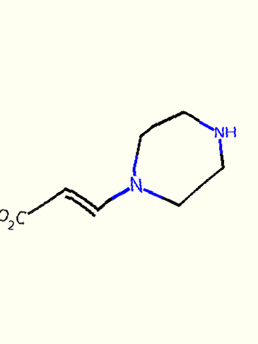 O=C(O)C=CN1CCNCC1